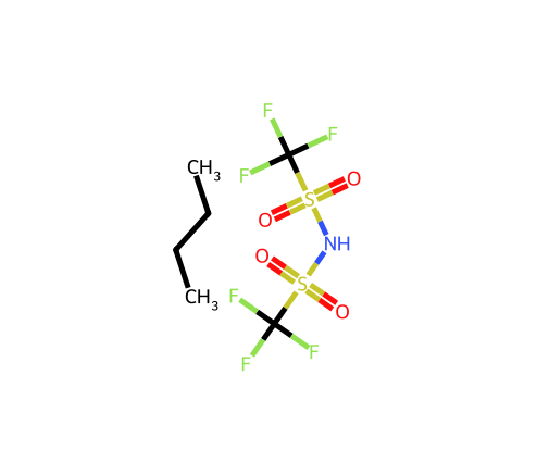 CCCC.O=S(=O)(NS(=O)(=O)C(F)(F)F)C(F)(F)F